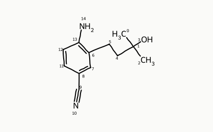 CC(C)(O)CCc1cc(C#N)ccc1N